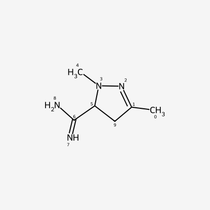 CC1=NN(C)C(C(=N)N)C1